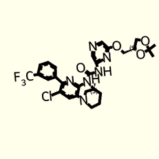 CC1(C)OC[C@H](COc2cncc(NC(=O)N3c4nc(-c5cccc(C(F)(F)F)c5)c(Cl)cc4N4CCC[C@H]3C4)n2)O1